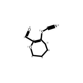 N#CSC1=C(C=O)OCCCC1